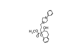 COC(=O)C1(CCCN2CCN(c3ccccc3)CC2)Oc2ccccc2CCC1O